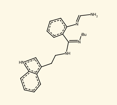 CCC(C)/N=C(/NCCc1c[nH]c2ccccc12)c1ccccc1/N=C/N